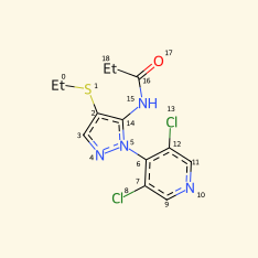 CCSc1cnn(-c2c(Cl)cncc2Cl)c1NC(=O)CC